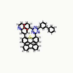 c1ccc(-c2cccc(-c3nc(-c4ccccc4)nc(-c4cccc5c4Sc4c(-c6ccc7cccnc7c6)cccc4C54c5ccccc5-c5ccccc54)n3)c2)cc1